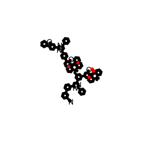 CC1(C)c2ccccc2C2(c3ccccc3Oc3cc(-c4cc(CC5(C)c6ccccc6C6(c7ccccc7Oc7c(-c8ccc(-c9cc(-c%10ccccc%10)nc(-c%10ccc%11c(c%10)oc%10ccccc%10%11)n9)cc8)cccc76)c6ccccc65)cc(-c5cc(-c6cccc(-c7cccc(C#N)c7)c6)nc(-c6ccccc6)n5)c4)ccc32)c2ccccc21